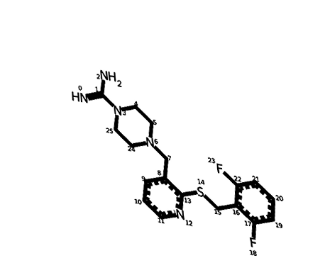 N=C(N)N1CCN(Cc2cccnc2SCc2c(F)cccc2F)CC1